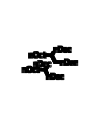 CCCCCCCCCCC(CCCCCCCC)CCCCCCCCCC.CCCCCCCCCCCC(CCCCCCCC)CCCCCCCCCC